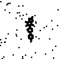 Cc1c(C)c(N2CCN(c3ccc(F)cc3)CC2)c(C)c2c1OC(C)C2